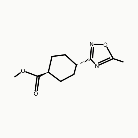 COC(=O)[C@H]1CC[C@H](c2noc(C)n2)CC1